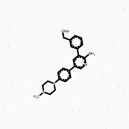 COCc1cccc(-c2cc(-c3ccc(N4CCN(C)CC4)cc3)cnc2N)c1